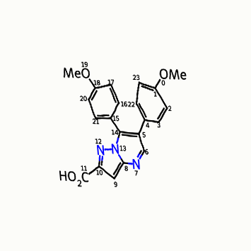 COc1ccc(-c2cnc3cc(C(=O)O)nn3c2-c2ccc(OC)cc2)cc1